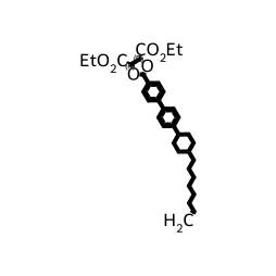 C=CCCCCCCC1CCC(c2ccc(-c3ccc(C4O[C@@H](C(=O)OCC)[C@H](C(=O)OCC)O4)cc3)cc2)CC1